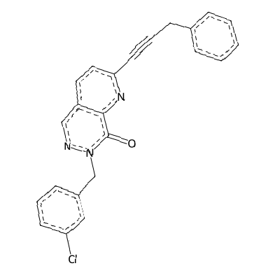 O=c1c2nc(C#CCc3ccccc3)ccc2cnn1Cc1cccc(Cl)c1